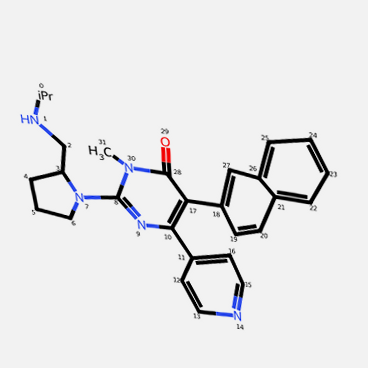 CC(C)NCC1CCCN1c1nc(-c2ccncc2)c(-c2ccc3ccccc3c2)c(=O)n1C